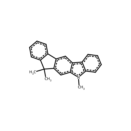 Cn1c2ccccc2c2cc3c(cc21)C(C)(C)c1ccccc1-3